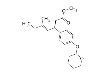 CC/C(C)=C/[C@@H](CC(=O)OC)c1ccc(OC2CCCCO2)cc1